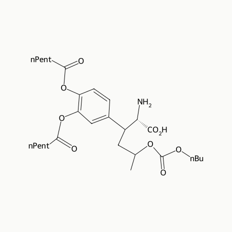 CCCCCC(=O)Oc1ccc(C(CC(C)OC(=O)OCCCC)[C@H](N)C(=O)O)cc1OC(=O)CCCCC